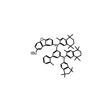 Cc1ccccc1-c1cc(N(c2ccc3c(c2)C(C)(C)CC3(C)C)c2cc3c(cc2C)C(C)(C)CCC3(C)C)cc(N(c2ccc3oc4ccc(C(C)(C)C)cc4c3c2)c2cc3c(cc2C)C(C)(C)CCC3(C)C)c1